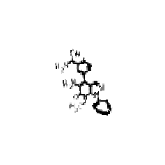 CCN1C(=O)C(N)C(c2cccc([C@H](C)N)c2)c2cnn(-c3ccccc3)c21